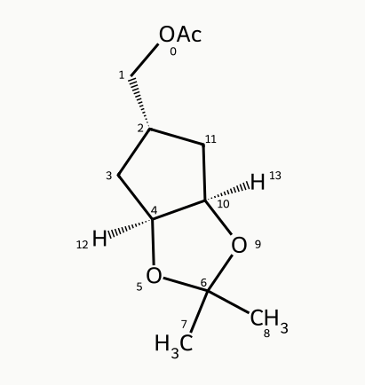 CC(=O)OC[C@H]1C[C@@H]2OC(C)(C)O[C@@H]2C1